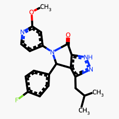 COc1cc(N2C(=O)c3[nH]nc(CC(C)C)c3C2c2ccc(F)cc2)ccn1